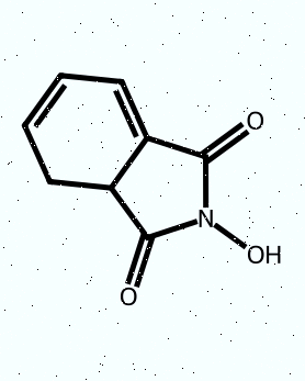 O=C1C2=CC=CCC2C(=O)N1O